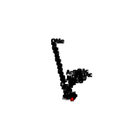 COCCOCCOCCOCCOCCOCCOCCOCCN(COC(C)Cc1ccccc1)C(=O)OCc1ccc(O[C@@H]2O[C@H](C(=O)OC)[C@@H](OC(C)=O)[C@H](OC(C)=O)[C@H]2OC(C)=O)c(N)c1